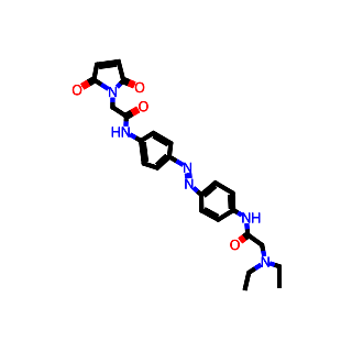 CCN(CC)CC(=O)Nc1ccc(/N=N/c2ccc(NC(=O)CN3C(=O)C=CC3=O)cc2)cc1